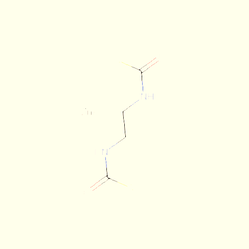 O=C([S-])NCCNC(=O)[S-].[Zn+2]